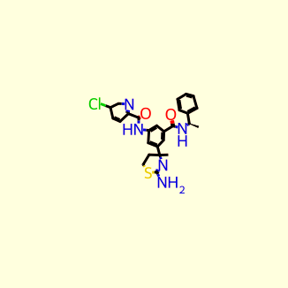 C[C@@H](NC(=O)c1cc(NC(=O)C2=NCC(Cl)C=C2)cc(C2(C)CCSC(N)=N2)c1)c1ccccc1